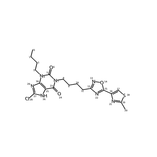 CCCCn1c(=O)n(CCCCc2noc(-c3csc(C)n3)n2)c(=O)c2[nH]c(Cl)nc21